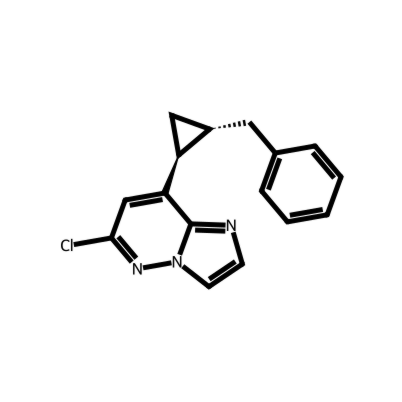 Clc1cc([C@H]2C[C@@H]2Cc2ccccc2)c2nccn2n1